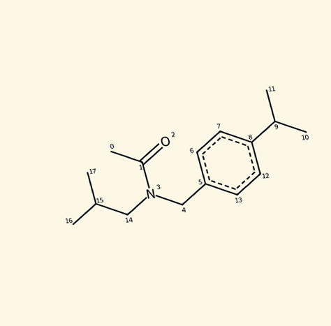 CC(=O)N(Cc1ccc(C(C)C)cc1)CC(C)C